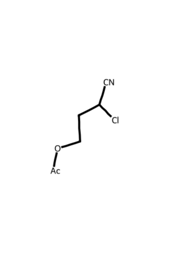 CC(=O)OCCC(Cl)C#N